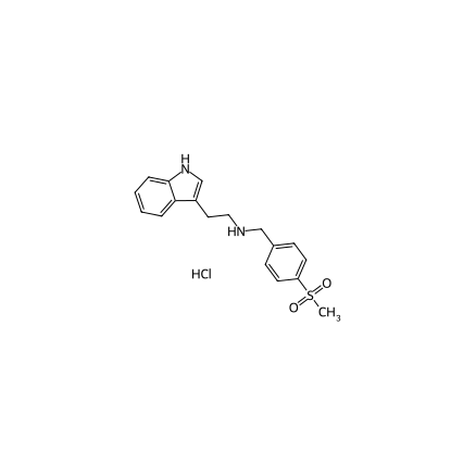 CS(=O)(=O)c1ccc(CNCCc2c[nH]c3ccccc23)cc1.Cl